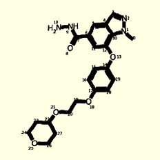 Cn1ncc2cc(C(=O)NN)cc(Oc3ccc(OCCOC4CCOCC4)cc3)c21